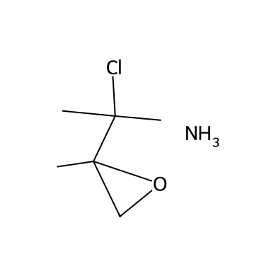 CC(C)(Cl)C1(C)CO1.N